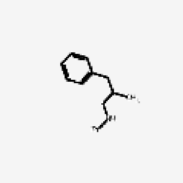 CC(CNC(C)C)Cc1ccccc1